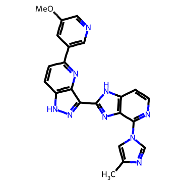 COc1cncc(-c2ccc3[nH]nc(-c4nc5c(-n6cnc(C)c6)nccc5[nH]4)c3n2)c1